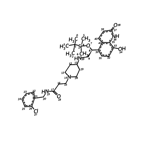 CC(C)(C)[Si](C)(C)O[C@H](CNC1CCN(CCC(=O)NCc2ccccc2Cl)CC1)c1ccc(O)c2[nH]c(=O)ccc12